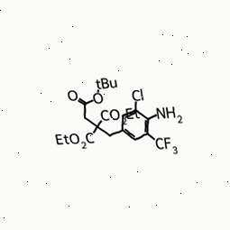 CCOC(=O)C(CC(=O)OC(C)(C)C)(Cc1cc(Cl)c(N)c(C(F)(F)F)c1)C(=O)OCC